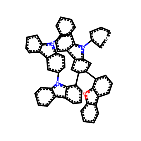 c1ccc(-n2c3ccccc3c3cc(-n4c5ccccc5c5cccc(-c6cc7c8ccccc8n(-c8ccccc8)c7cc6-c6cccc7c6oc6ccccc67)c54)ccc32)cc1